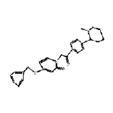 CN1CCCCC1c1ccc(C(=O)Cn2ccc(OCc3ccccc3)cc2=O)cc1